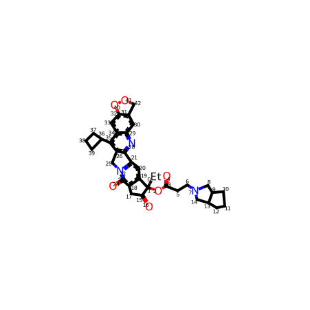 CCC1(OC(=O)CCN2CC3CCCC3C2)C(=O)Cc2c1cc1n(c2=O)Cc2c-1nc1cc3c(cc1c2C1CCC1)OOC3